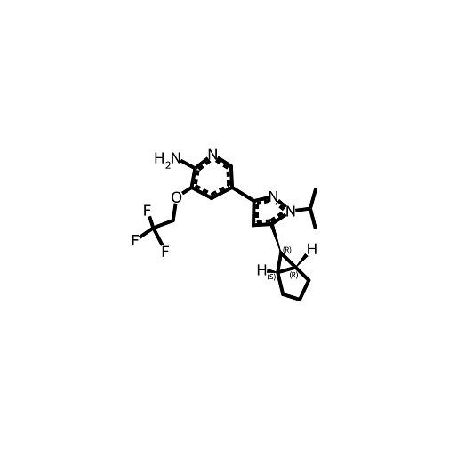 CC(C)n1nc(-c2cnc(N)c(OCC(F)(F)F)c2)cc1[C@H]1[C@@H]2CCC[C@@H]21